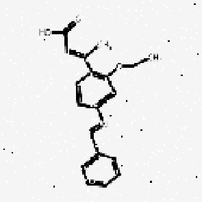 CCOc1cc(N=Cc2ccccc2)ccc1C(C)=CC(=O)O